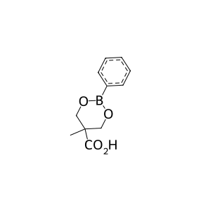 CC1(C(=O)O)COB(c2ccccc2)OC1